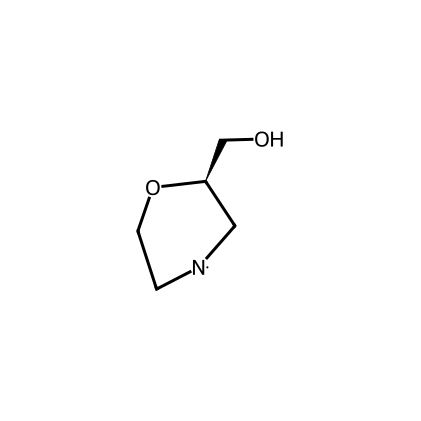 OC[C@H]1C[N]CCO1